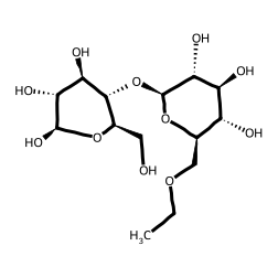 CCOC[C@H]1O[C@@H](O[C@H]2[C@H](O)[C@@H](O)[C@H](O)O[C@@H]2CO)[C@H](O)[C@@H](O)[C@@H]1O